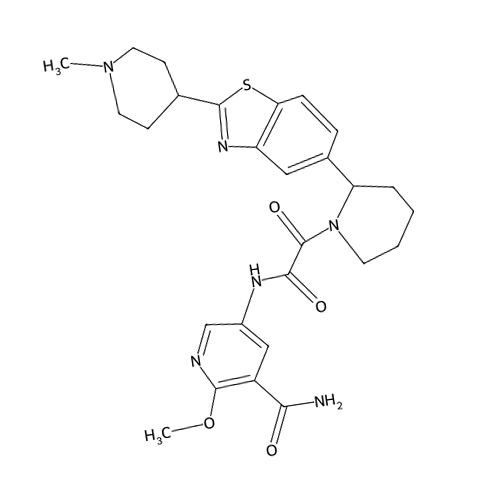 COc1ncc(NC(=O)C(=O)N2CCCCC2c2ccc3sc(C4CCN(C)CC4)nc3c2)cc1C(N)=O